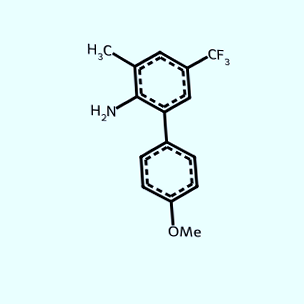 COc1ccc(-c2cc(C(F)(F)F)cc(C)c2N)cc1